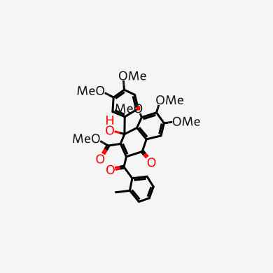 COC(=O)C1=C(C(=O)c2ccccc2C)C(=O)c2cc(OC)c(OC)c(OC)c2C1(O)c1ccc(OC)c(OC)c1